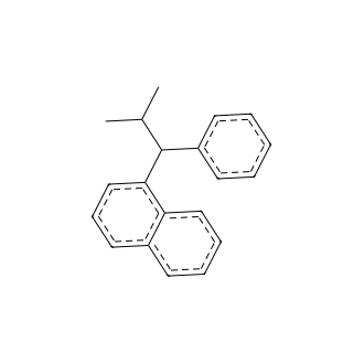 CC(C)C(c1ccccc1)c1cccc2ccccc12